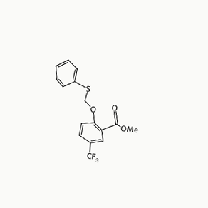 COC(=O)c1cc(C(F)(F)F)ccc1OCSc1ccccc1